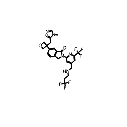 Cn1cnnc1CC1(c2ccc3c(c2)C(=O)N(c2cc(CNCCC(F)(F)F)cc(C(F)(F)F)n2)C3)COC1